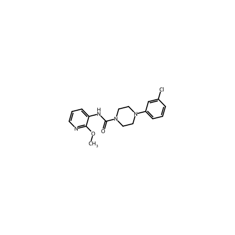 COc1ncccc1NC(=O)N1CCN(c2cccc(Cl)c2)CC1